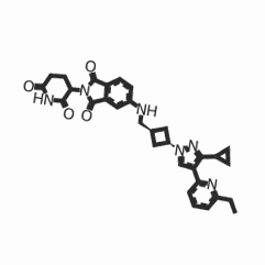 CCc1cccc(-c2cn([C@H]3C[C@H](CNc4ccc5c(c4)C(=O)N(C4CCC(=O)NC4=O)C5=O)C3)nc2C2CC2)n1